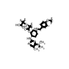 Cc1cnc(N[C@H]2CC[C@@H](NCc3ccc(OC(F)F)cc3)CC2)nc1N(C)C.O=C(O)C(F)(F)F.O=C(O)C(F)(F)F